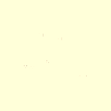 CCCCCCCCCCCc1nc(OC)cc(C)c1O